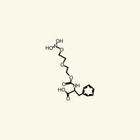 O=C(NC(Cc1ccccc1)C(=O)O)OCCOCCON(O)O